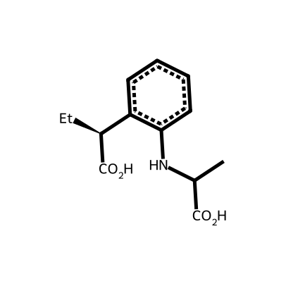 CC[C@H](C(=O)O)c1ccccc1NC(C)C(=O)O